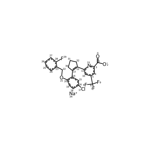 O=C([O-])c1cc(C(F)(F)F)cc(C2=C(c3cc(Cl)ccc3OCc3ccccc3F)CCC2)n1.[Na+]